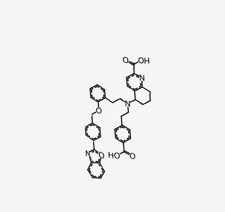 O=C(O)c1ccc(CCN(CCc2ccccc2OCc2ccc(-c3nc4ccccc4o3)cc2)C2CCCc3nc(C(=O)O)ccc32)cc1